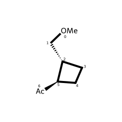 COC[C@@H]1CC[C@H]1C(C)=O